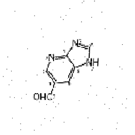 O=Cc1cnc2nc[nH]c2c1